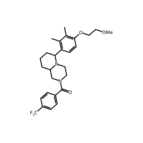 COCCOc1ccc(C2CCCC3CN(C(=O)c4ccc(C(F)(F)F)cc4)CCN32)c(C)c1C